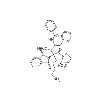 NCCCCC(C(=O)N1CCC[C@H]1C(=O)O)(C(C(=O)O)[C@H](Cc1ccccc1)NC(=O)c1ccccc1)N1C(=O)c2ccccc2C1=O